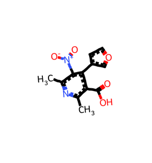 Cc1nc(C)c([N+](=O)[O-])c(-c2ccoc2)c1C(=O)O